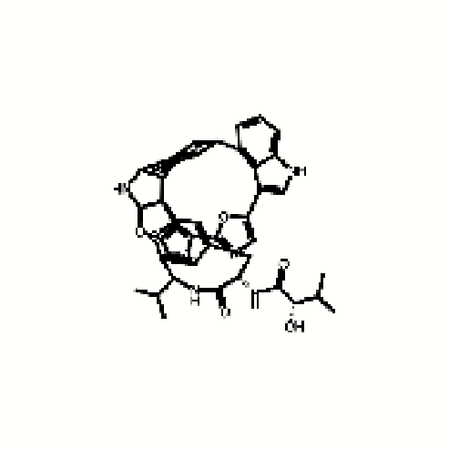 CC(C)C1NC(=O)[C@@H](NC(=O)[C@@H](O)C(C)C)Cc2ccc3c(c2)C24c5ccc(cc5NC2O3)-c2cccc3[nH]cc(c23)-c2cnc(o2)-c2nc1oc24